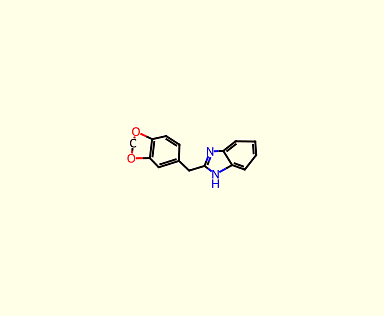 c1ccc2[nH]c(Cc3ccc4c(c3)OCO4)nc2c1